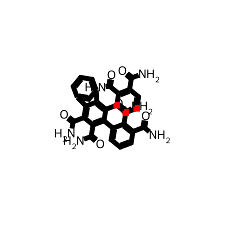 NC(=O)c1cccc(-c2c(C(N)=O)c(C(N)=O)c3c(c2-c2cccc(C(N)=O)c2C(N)=O)-c2cccc-3c2)c1C(N)=O